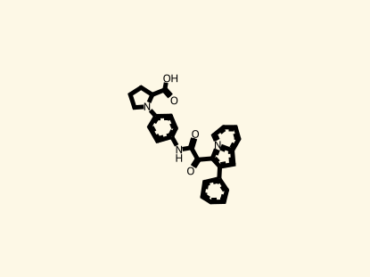 O=C(Nc1ccc(N2CCCC2C(=O)O)cc1)C(=O)c1c(-c2ccccc2)cc2ccccn12